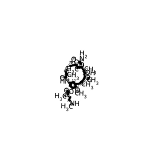 CNCCN(C)C(=O)Oc1cc2cc(c1OC)C[C@@H](C)C[C@H](OC)[C@H](O)[C@@H](C)/C=C(\C)[C@H](OC(N)=O)[C@@H](C=O)CC/C=C(\C)C(=O)N2